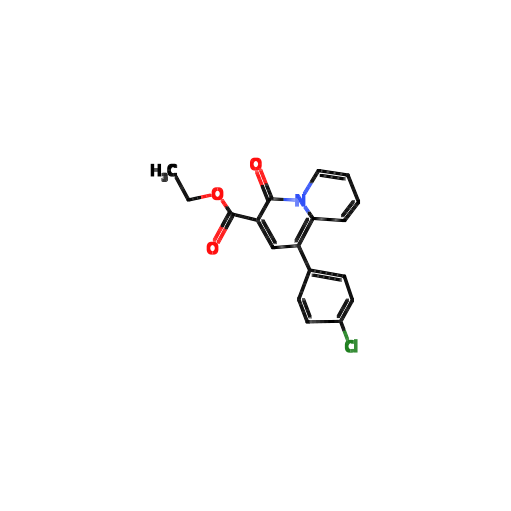 CCOC(=O)c1cc(-c2ccc(Cl)cc2)c2ccccn2c1=O